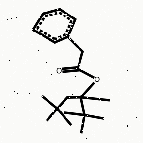 CC(C)(C)CC(C)(OC(=O)Cc1ccccc1)C(C)(C)C